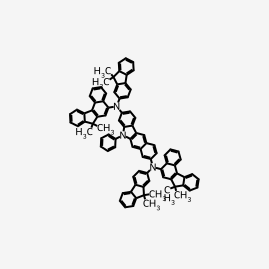 CC1(C)c2ccccc2-c2ccc(N(c3ccc4cc5c6ccc(N(c7ccc8c(c7)C(C)(C)c7ccccc7-8)c7cc8c(c9ccccc79)-c7ccccc7C8(C)C)cc6n(-c6ccccc6)c5cc4c3)c3cc4c(c5ccccc35)-c3ccccc3C4(C)C)cc21